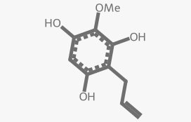 C=CCc1c(O)cc(O)c(OC)c1O